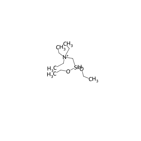 CCO[SiH](C[N+](CC)(CC)CC)OCC